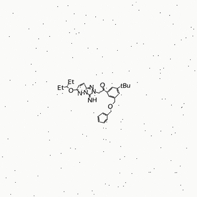 CCC(CC)Oc1ccc2nn(CC(=O)c3cc(COCc4ccccc4)cc(C(C)(C)C)c3)c(=N)n2n1